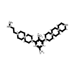 CCCNCCN1CC[N+]2(CC1)CCN(c1nc(C)nc(N3CC[N+]4(CC3)CC[N+]3(CCNCC3)CC4)c1[N+](=O)[O-])CC2